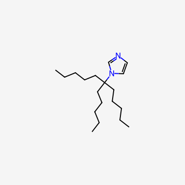 CCCCCC(CCCCC)(CCCCC)n1ccnc1